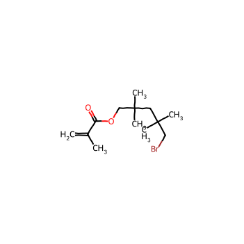 C=C(C)C(=O)OCC(C)(C)CC(C)(C)CBr